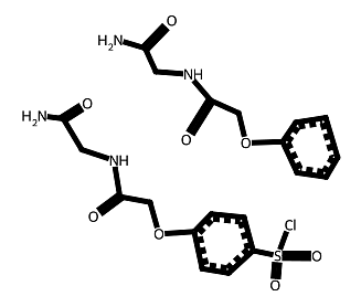 NC(=O)CNC(=O)COc1ccc(S(=O)(=O)Cl)cc1.NC(=O)CNC(=O)COc1ccccc1